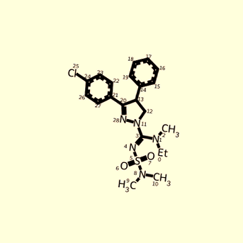 CCN(C)C(=NS(=O)(=O)N(C)C)N1CC(c2ccccc2)C(c2ccc(Cl)cc2)=N1